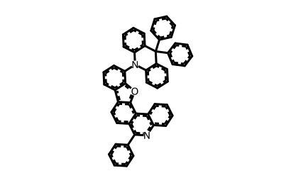 c1ccc(-c2nc3ccccc3c3c2ccc2c4cccc(N5c6ccccc6C(c6ccccc6)(c6ccccc6)c6ccccc65)c4oc23)cc1